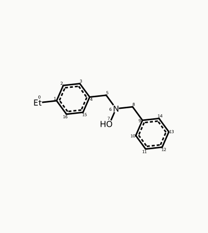 CCc1ccc(CN(O)Cc2ccccc2)cc1